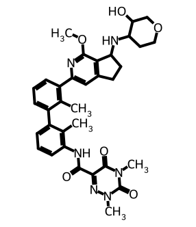 COc1nc(-c2cccc(-c3cccc(NC(=O)c4nn(C)c(=O)n(C)c4=O)c3C)c2C)cc2c1C(NC1CCOCC1O)CC2